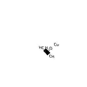 C#C.O.[Cu]